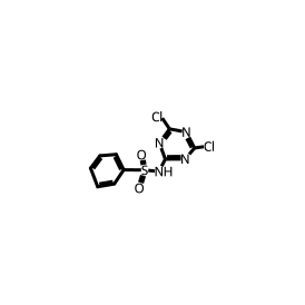 O=S(=O)(Nc1nc(Cl)nc(Cl)n1)c1ccccc1